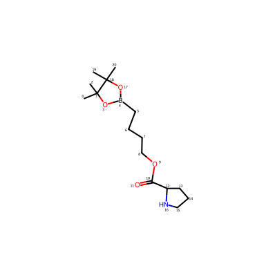 CC1(C)OB(CCCCOC(=O)C2CCCN2)OC1(C)C